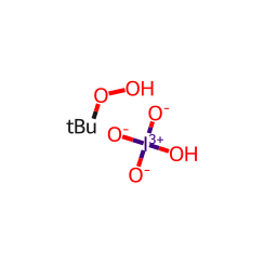 CC(C)(C)OO.[O-][I+3]([O-])([O-])O